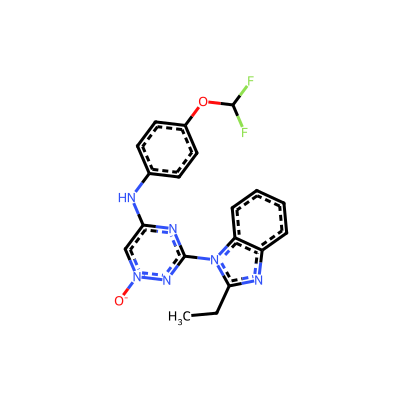 CCc1nc2ccccc2n1-c1nc(Nc2ccc(OC(F)F)cc2)c[n+]([O-])n1